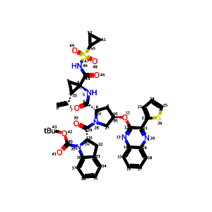 C=C[C@@H]1C[C@]1(NC(=O)[C@@H]1C[C@@H](Oc2nc3ccccc3nc2-c2cccs2)CN1C(=O)[C@@H]1Cc2ccccc2N1C(=O)OC(C)(C)C)C(=O)NS(=O)(=O)C1CC1